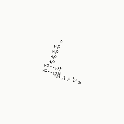 O.O.O.O.O.O.O.O.O=S(=O)(O)O.O=S(=O)(O)O.[Zr].[Zr]